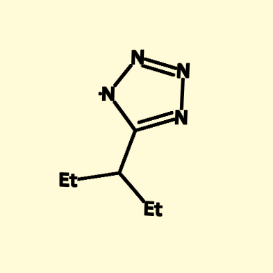 CCC(CC)C1=NN=N[N]1